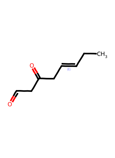 CC/C=C/CC(=O)CC=O